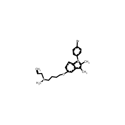 C=CCN(C)CCCCOc1ccc2c(c1)c(C)c(C)n2-c1ccc(Br)cc1